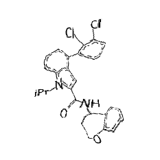 CC(C)n1c(C(=O)NC2CCOc3ccccc32)cc2c(-c3cccc(Cl)c3Cl)cccc21